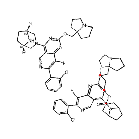 CCCCOC(=O)N1C2CCC1CN(c1nc(OCC34CCCN3CCC4)nc3c(F)c(-c4ccccc4Cl)ncc13)C2.Fc1c(-c2ccccc2Cl)ncc2c(N3C[C@H]4CC[C@@H](C3)N4)nc(OCC34CCCN3CCC4)nc12